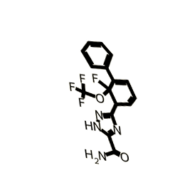 NC(=O)c1nc(C2C=CC=C(c3ccccc3)C2(F)OC(F)(F)F)n[nH]1